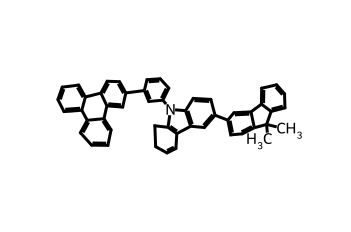 CC1(C)c2ccccc2-c2cc(-c3ccc4c(c3)c3c(n4-c4cccc(-c5ccc6c7ccccc7c7ccccc7c6c5)c4)CCC=C3)ccc21